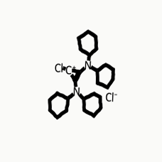 Cl[c+]1c(N(C2CCCCC2)C2CCCCC2)c1N(C1CCCCC1)C1CCCCC1.[Cl-]